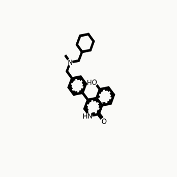 CN(Cc1ccc(-c2c[nH]c(=O)c3cccc(O)c23)cc1)CC1CCCCC1